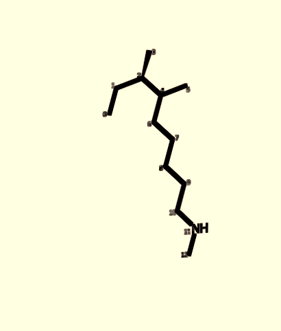 CC[C@@H](C)C(C)CCCCCNC